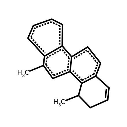 Cc1cc2c3c(ccc2c2ccccc12)C=CCC3C